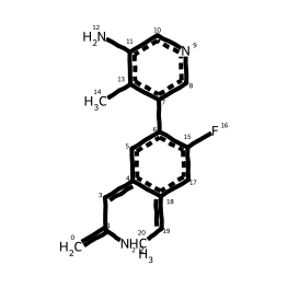 C=C(N)/C=c1/cc(-c2cncc(N)c2C)c(F)c/c1=C/C